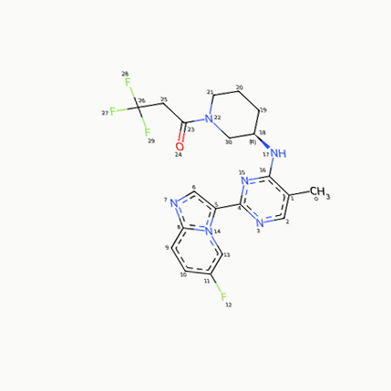 Cc1cnc(-c2cnc3ccc(F)cn23)nc1N[C@@H]1CCCN(C(=O)CC(F)(F)F)C1